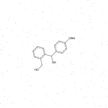 COc1ccc(C(O)c2ccccc2CO)cc1